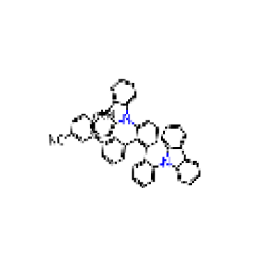 N#Cc1ccc(C#N)c(-c2cccc(-c3c(-c4ccccc4-n4c5ccccc5c5ccccc54)cccc3-n3c4ccccc4c4ccccc43)c2)c1